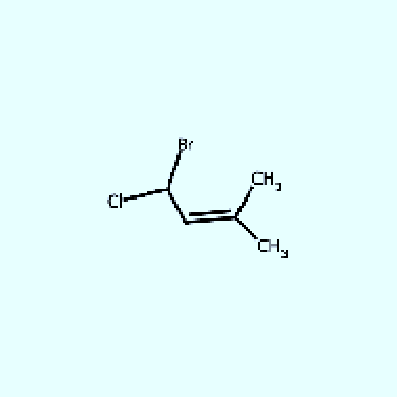 CC(C)=CC(Cl)Br